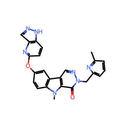 Cc1cccc(Cn2ncc3c4cc(Oc5ccc6[nH]ncc6n5)ccc4n(C)c3c2=O)n1